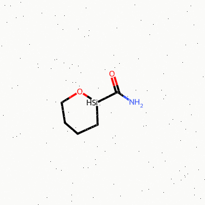 NC(=O)[SiH]1CCCCO1